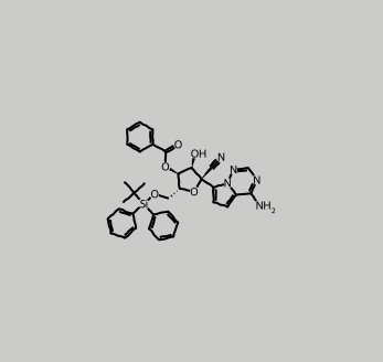 CC(C)(C)[Si](OC[C@H]1O[C@@](C#N)(c2ccc3c(N)ncnn23)[C@H](O)[C@@H]1OC(=O)c1ccccc1)(c1ccccc1)c1ccccc1